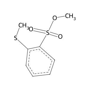 COS(=O)(=O)c1ccccc1SC